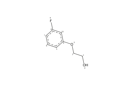 OCCOc1c[c]cc(F)c1